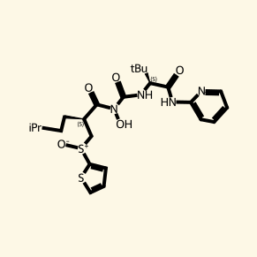 CC(C)CC[C@H](C[S+]([O-])c1cccs1)C(=O)N(O)C(=O)N[C@H](C(=O)Nc1ccccn1)C(C)(C)C